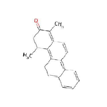 CC1=c2ccc3c(c2C(C)CC1=O)CC=c1ccccc1=3